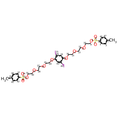 Cc1ccc(S(=O)(=O)OCCOCCOCCOc2cc(I)c(OCCOCCOCCOS(=O)(=O)c3ccc(C)cc3)cc2I)cc1